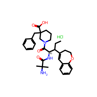 CCC(C1=Cc2ccccc2OCC1)[C@@H](NC(=O)C(C)(C)N)C(=O)N1CCCC(Cc2ccccc2)(C(=O)O)C1.Cl